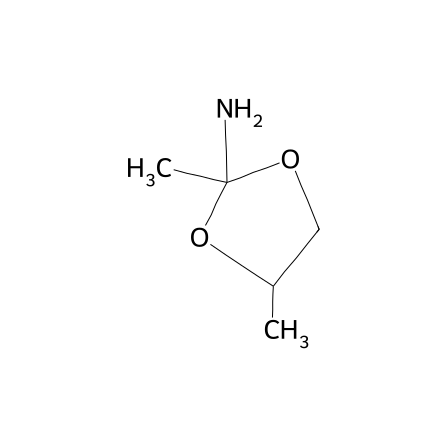 CC1COC(C)(N)O1